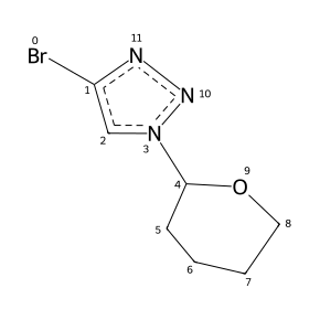 Brc1cn(C2CCCCO2)nn1